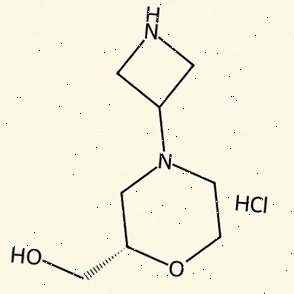 Cl.OC[C@@H]1CN(C2CNC2)CCO1